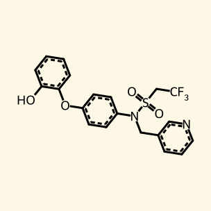 O=S(=O)(CC(F)(F)F)N(Cc1cccnc1)c1ccc(Oc2ccccc2O)cc1